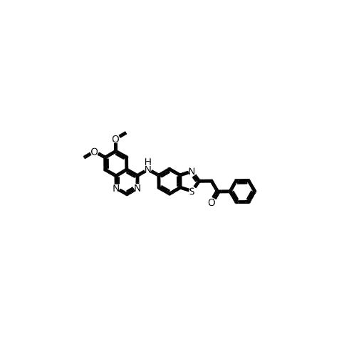 COc1cc2ncnc(Nc3ccc4sc(CC(=O)c5ccccc5)nc4c3)c2cc1OC